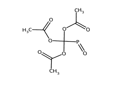 CC(=O)OC(OC(C)=O)(OC(C)=O)P=O